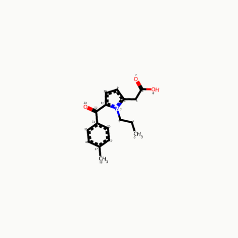 CCCn1c(CC(=O)O)ccc1C(=O)c1ccc(C)cc1